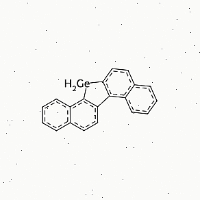 c1ccc2[c]3c(ccc2c1)-c1[c](ccc2ccccc12)[GeH2]3